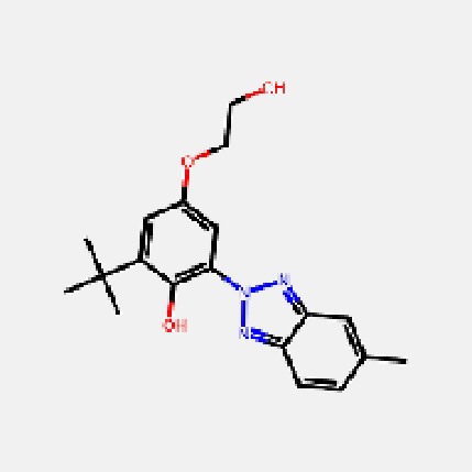 Cc1ccc2nn(-c3cc(OCCO)cc(C(C)(C)C)c3O)nc2c1